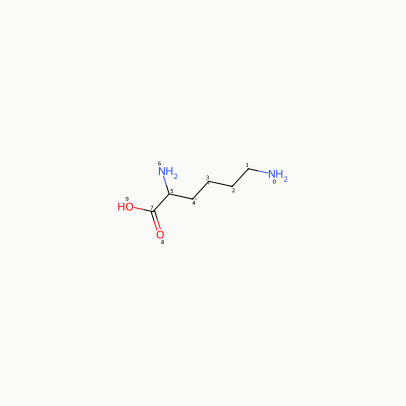 NCC[CH][CH]C(N)C(=O)O